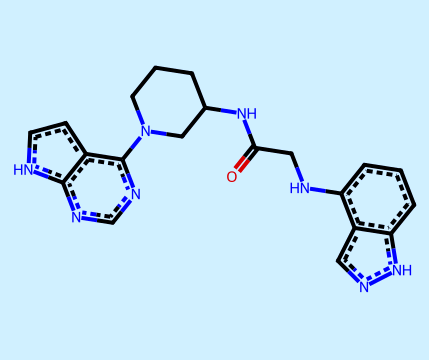 O=C(CNc1cccc2[nH]ncc12)NC1CCCN(c2ncnc3[nH]ccc23)C1